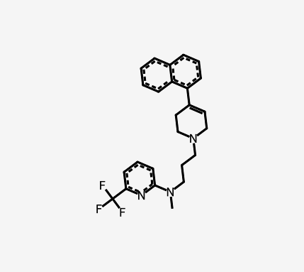 CN(CCCN1CC=C(c2cccc3ccccc23)CC1)c1cccc(C(F)(F)F)n1